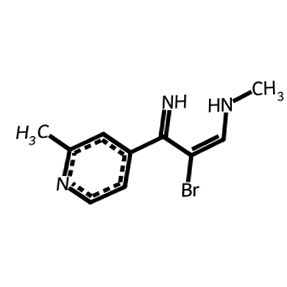 CN/C=C(/Br)C(=N)c1ccnc(C)c1